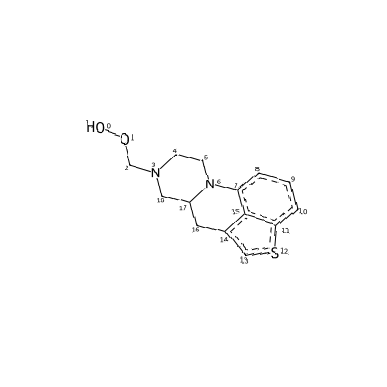 OOCN1CCN2c3cccc4scc(c34)CC2C1